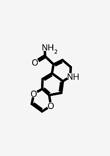 NC(=O)C1=CCNc2cc3c(cc21)OC=CO3